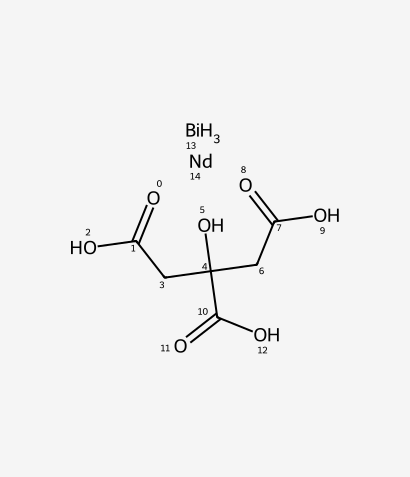 O=C(O)CC(O)(CC(=O)O)C(=O)O.[BiH3].[Nd]